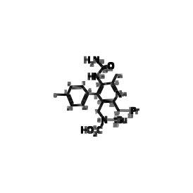 Cc1ccc(-c2c(CN(C(=O)O)C(C)(C)C)c(CC(C)C)nc(C)c2NC(N)=O)cc1